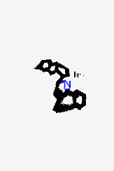 [Ir].c1ccc2c(c1)Cc1c(-c3ccc4ccc5ccccc5c4n3)cccc1-2